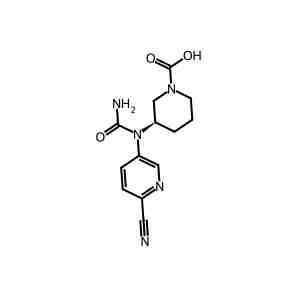 N#Cc1ccc(N(C(N)=O)[C@@H]2CCCN(C(=O)O)C2)cn1